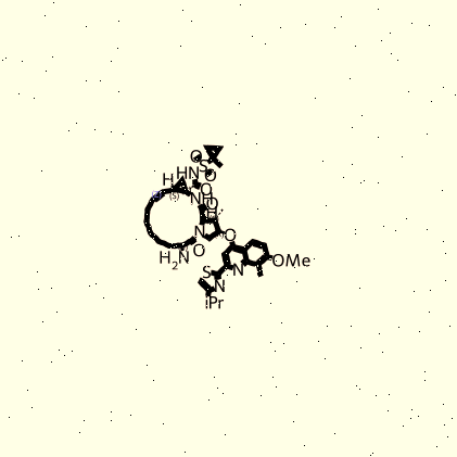 COc1ccc2c(O[C@H]3CN4C(=O)[C@@H](N)CCCCC/C=C\[C@@H]5C[C@@]5(C(=O)NS(=O)(=O)C5(C)CC5)NC(=O)[C@@H]4[C@@H]3C)cc(-c3nc(C(C)C)cs3)nc2c1C